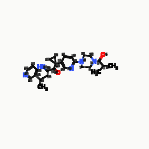 CC(C)C(=O)N1CCN(c2ccc(C3(C(=O)C(=N)CC(C)c4cccnc4)CC3)cn2)CC1